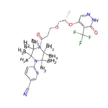 BC1(B)N(C(=O)CCOC[C@H](C)Oc2cn[nH]c(=O)c2C(F)(F)F)C(B)(B)C(B)(B)N(c2ccc(C#N)cn2)C1(B)B